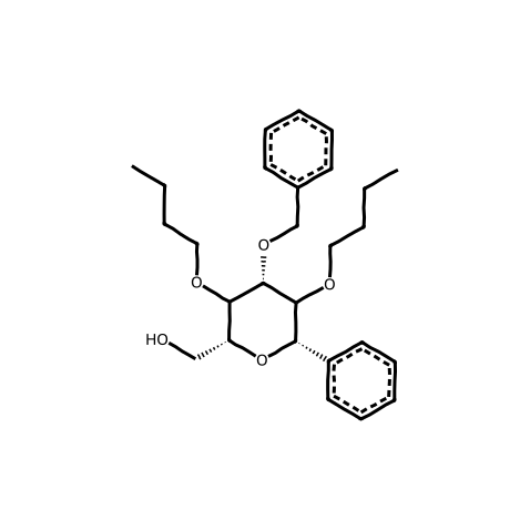 CCCCOC1[C@H](OCc2ccccc2)C(OCCCC)[C@H](c2ccccc2)O[C@@H]1CO